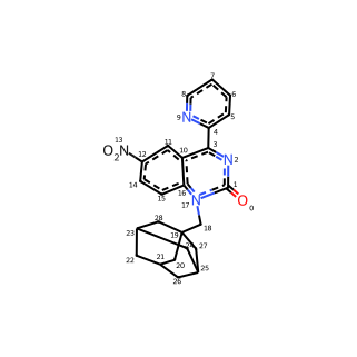 O=c1nc(-c2ccccn2)c2cc([N+](=O)[O-])ccc2n1CC12CC3CC(CC(C3)C1)C2